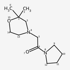 CC1(C)CN(CC(=O)N2CCCC2)CCO1